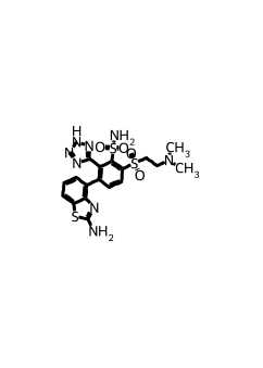 CN(C)CCS(=O)(=O)c1ccc(-c2cccc3sc(N)nc23)c(-c2nn[nH]n2)c1S(N)(=O)=O